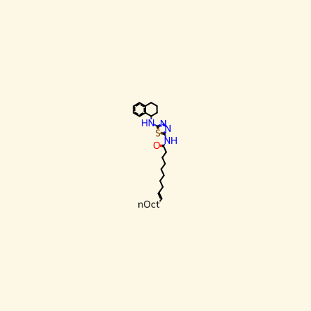 CCCCCCCCC=CCCCCCCCC(=O)Nc1nnc(NC2CCCc3ccccc32)s1